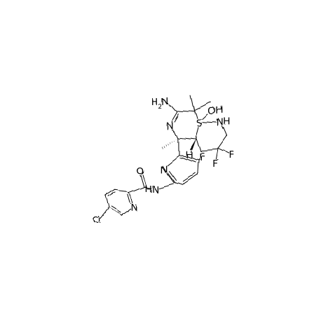 CC1(C)C(N)=N[C@](C)(c2nc(NC(=O)c3ccc(Cl)cn3)ccc2F)[C@H]2CC(F)(F)CNS21O